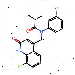 CC(C)C(=O)N(Cc1cc(=O)[nH]c2c(F)cccc12)c1cccc(Cl)c1